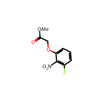 COC(=O)COc1cccc(F)c1[N+](=O)[O-]